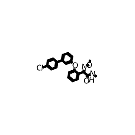 CNC(=O)/C(=N\OC)c1ccccc1Oc1cccc(-c2ccc(Cl)cc2)c1